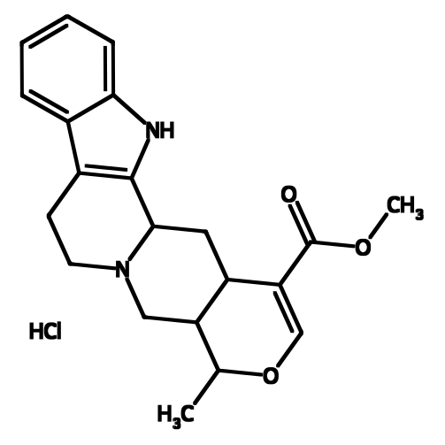 COC(=O)C1=COC(C)C2CN3CCc4c([nH]c5ccccc45)C3CC12.Cl